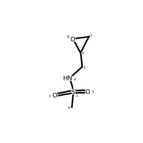 CS(=O)(=O)NCC1CO1